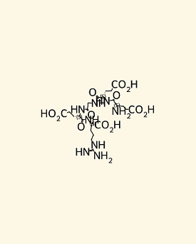 N=C(N)NCCC[C@H](NC(=O)[C@H](CCC(=O)O)NC(=O)CNC(=O)[C@H](CCC(=O)O)NC(=O)[C@@H](N)CCC(=O)O)C(=O)O